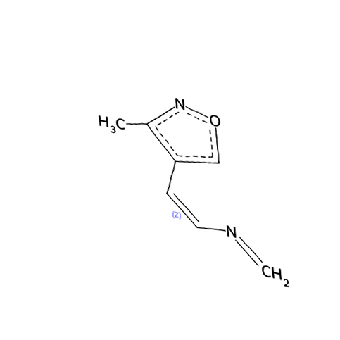 C=N/C=C\c1conc1C